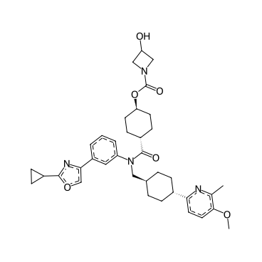 COc1ccc([C@H]2CC[C@H](CN(c3cccc(-c4coc(C5CC5)n4)c3)C(=O)[C@H]3CC[C@H](OC(=O)N4CC(O)C4)CC3)CC2)nc1C